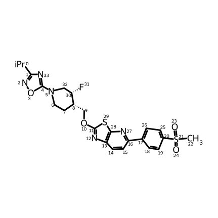 CC(C)c1noc(N2CC[C@@H](COc3nc4ccc(-c5ccc(S(C)(=O)=O)cc5)nc4s3)[C@@H](F)C2)n1